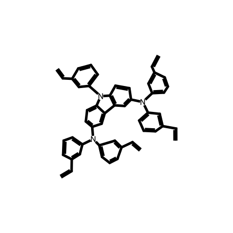 C=Cc1cccc(N(c2cccc(C=C)c2)c2ccc3c(c2)c2cc(N(c4cccc(C=C)c4)c4cccc(C=C)c4)ccc2n3-c2cccc(C=C)c2)c1